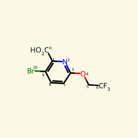 O=C(O)c1nc(OCC(F)(F)F)ccc1Br